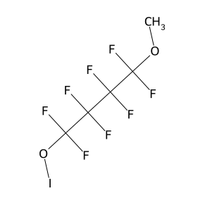 COC(F)(F)C(F)(F)C(F)(F)C(F)(F)OI